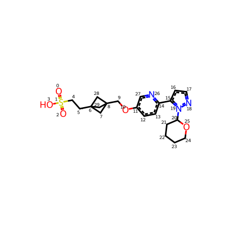 O=S(=O)(O)C[CH]C12CC(COc3ccc(-c4ccnn4C4CCCCO4)nc3)(C1)C2